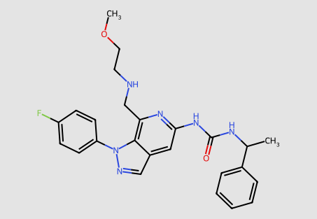 COCCNCc1nc(NC(=O)NC(C)c2ccccc2)cc2cnn(-c3ccc(F)cc3)c12